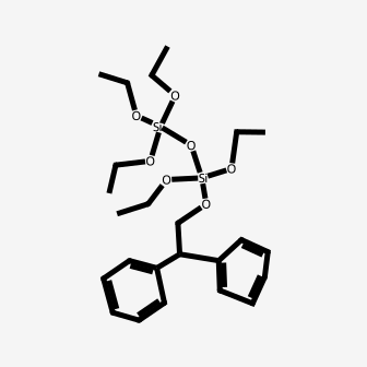 CCO[Si](OCC)(OCC)O[Si](OCC)(OCC)OCC(c1ccccc1)c1ccccc1